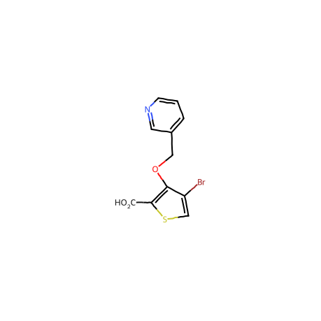 O=C(O)c1scc(Br)c1OCc1cccnc1